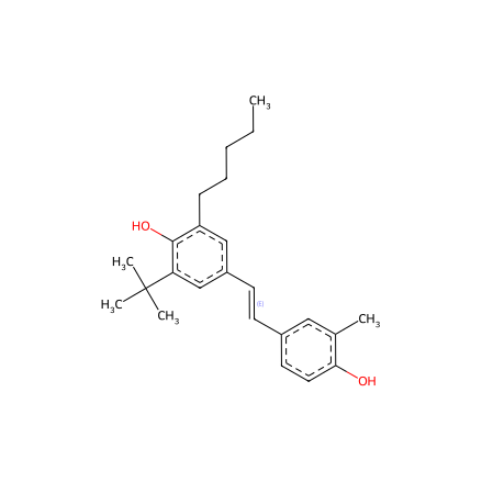 CCCCCc1cc(/C=C/c2ccc(O)c(C)c2)cc(C(C)(C)C)c1O